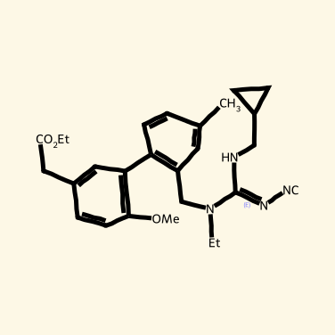 [C-]#[N+]/N=C(\NCC1CC1)N(CC)Cc1cc(C)ccc1-c1cc(CC(=O)OCC)ccc1OC